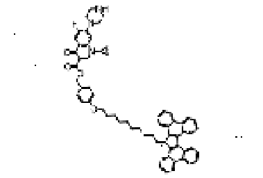 O=C(OCc1ccc(OCCCCCCCCCCC2c3c(c4ccccc4c4ccccc34)-c3c2c2ccccc2c2ccccc32)cc1)c1cn(C2CC2)c2cc(N3CCNCC3)c(F)cc2c1=O